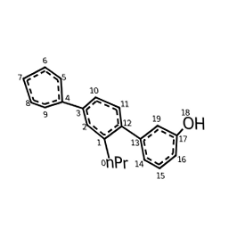 CCCc1cc(-c2ccccc2)ccc1-c1cccc(O)c1